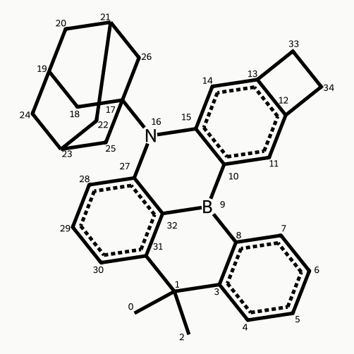 CC1(C)c2ccccc2B2c3cc4c(cc3N(C35CC6CC(CC(C6)C3)C5)c3cccc1c32)CC4